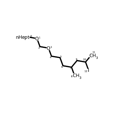 CCCCCCCOCOCCCC(C)CC(C)I